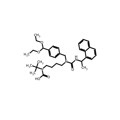 CCOC(OCC)c1ccc(CN(CCCCN(C(=O)O)C(C)(C)C)C(=O)NC(C)c2cccc3ccccc23)cc1